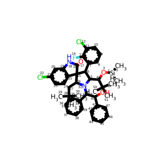 C[SiH](C)OC(C1C(c2cccc(Cl)c2F)C2(C(=O)Nc3cc(Cl)ccc32)C(CC(C)(C)C)N1C(c1ccccc1)C(O)c1ccccc1)C(C)(C)C